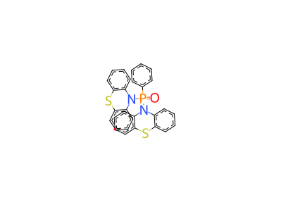 O=P(c1ccccc1)(N1c2ccccc2Sc2ccccc21)N1c2ccccc2Sc2ccccc21